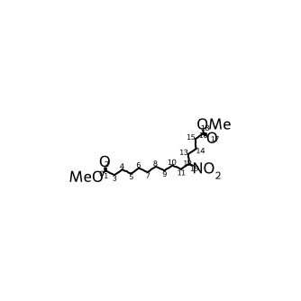 COC(=O)CCCCCCCCCC(CCCC(=O)OC)[N+](=O)[O-]